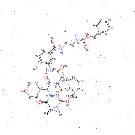 C[C@@H](C(=O)NC(C(=O)N1Cc2ccccc2[C@H]1C(=O)Nc1cc(C(=O)NCCNC(=O)OCc2ccccc2)ccc1F)C1CCOCC1)N(C)C(=O)OC(C)(C)C